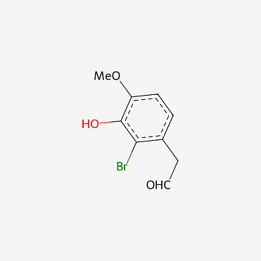 COc1ccc(CC=O)c(Br)c1O